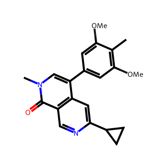 COc1cc(-c2cn(C)c(=O)c3cnc(C4CC4)cc23)cc(OC)c1C